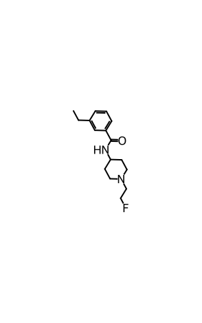 CCc1cccc(C(=O)NC2CCN(CCF)CC2)c1